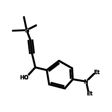 CCN(CC)c1ccc(C(O)C#C[Si](C)(C)C)cc1